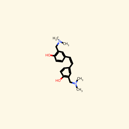 CN(C)Cc1cc(/C=C\c2ccc(O)c(CN(C)C)c2)ccc1O